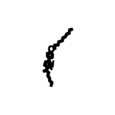 CCCCCCCCCCCOc1ccc(-c2ccc(C(C)CCCCCC)nn2)cc1